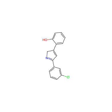 Oc1ccccc1C1=CC(c2cccc(Cl)c2)=NC1